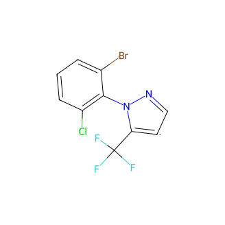 FC(F)(F)c1[c]cnn1-c1c(Cl)cccc1Br